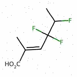 C/C(=C\C(F)(F)C(C)F)C(=O)O